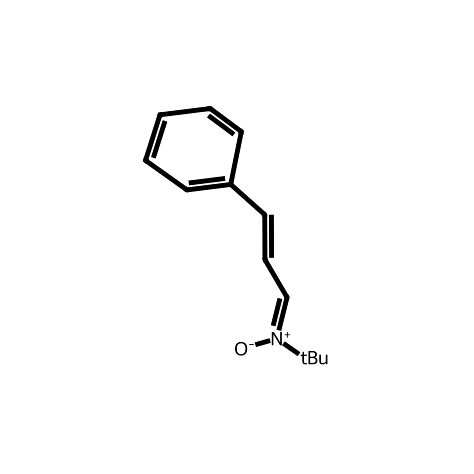 CC(C)(C)[N+]([O-])=CC=Cc1ccccc1